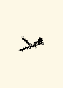 CCCCCCCCOC(COC(C)OC(C)OC(=O)c1ccccc1C(=O)O)OCCCCCCCC